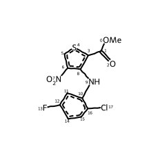 COC(=O)c1scc([N+](=O)[O-])c1Nc1cc(F)ccc1Cl